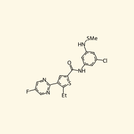 CCc1sc(C(=O)Nc2cc(Cl)cc(NSC)c2)cc1-c1ncc(F)cn1